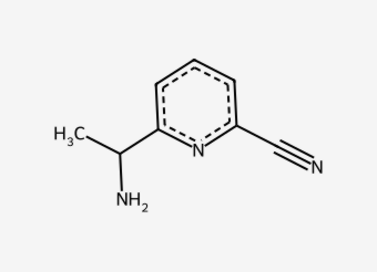 CC(N)c1cccc(C#N)n1